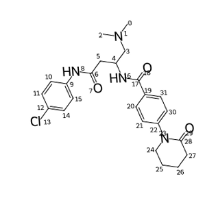 CN(C)CC(CC(=O)Nc1ccc(Cl)cc1)NC(=O)c1ccc(N2CCCCC2=O)cc1